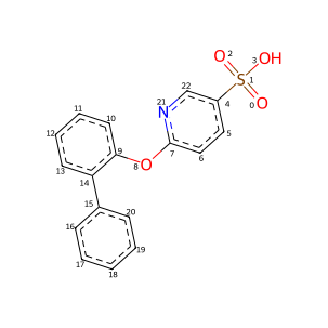 O=S(=O)(O)c1ccc(Oc2ccccc2-c2ccccc2)nc1